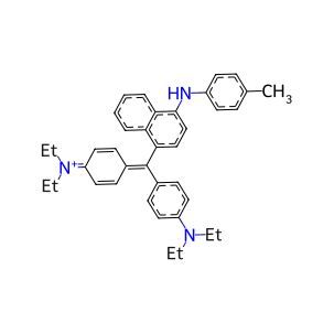 CCN(CC)c1ccc(C(=C2C=CC(=[N+](CC)CC)C=C2)c2ccc(Nc3ccc(C)cc3)c3ccccc23)cc1